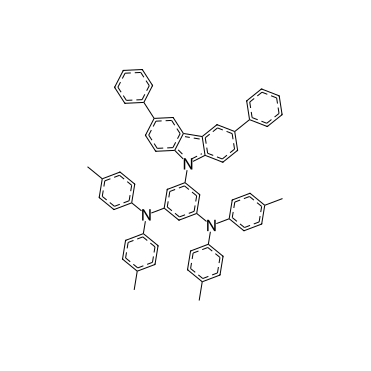 Cc1ccc(N(c2ccc(C)cc2)c2cc(N(c3ccc(C)cc3)c3ccc(C)cc3)cc(-n3c4ccc(-c5ccccc5)cc4c4cc(-c5ccccc5)ccc43)c2)cc1